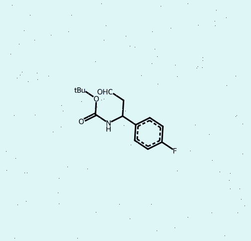 CC(C)(C)OC(=O)NC(CC=O)c1ccc(F)cc1